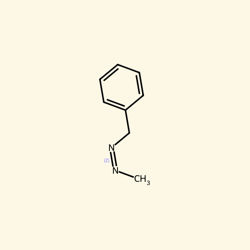 C/N=N\Cc1ccccc1